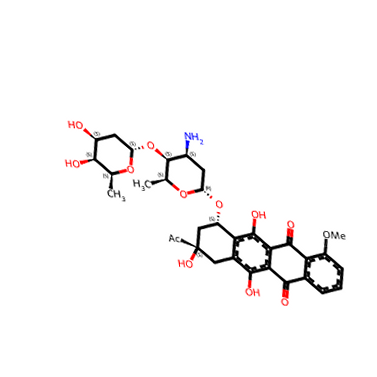 COc1cccc2c1C(=O)c1c(O)c3c(c(O)c1C2=O)C[C@@](O)(C(C)=O)C[C@@H]3O[C@H]1C[C@H](N)[C@H](O[C@H]2C[C@H](O)[C@H](O)[C@H](C)O2)[C@H](C)O1